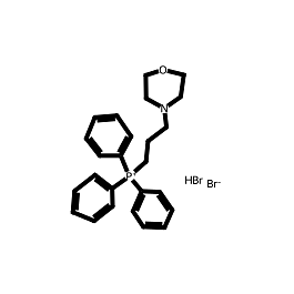 Br.[Br-].c1ccc([P+](CCCN2CCOCC2)(c2ccccc2)c2ccccc2)cc1